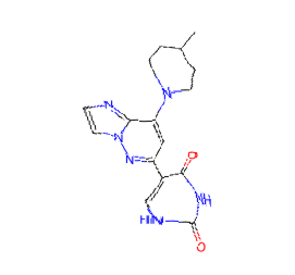 CC1CCN(c2cc(-c3c[nH]c(=O)[nH]c3=O)nn3ccnc23)CC1